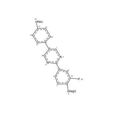 CCCCCCCc1ccc(-c2ncc(-c3ccc(CCCCCC)cc3)cn2)cc1F